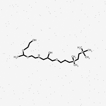 CC(OCCO)OCCNCC(O)COCCC[Si](C)(C)CC[Si](C)(C)C